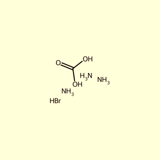 Br.N.N.N.O=C(O)O